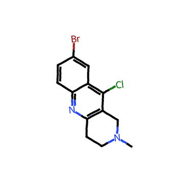 CN1CCc2nc3ccc(Br)cc3c(Cl)c2C1